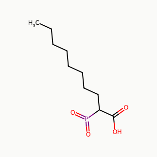 CCCCCCCCC(C(=O)O)P(=O)=O